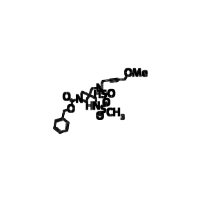 COCC#CCN(CC1(CNS(C)(=O)=O)CN(C(=O)OCc2ccccc2)C1)[SH]=O